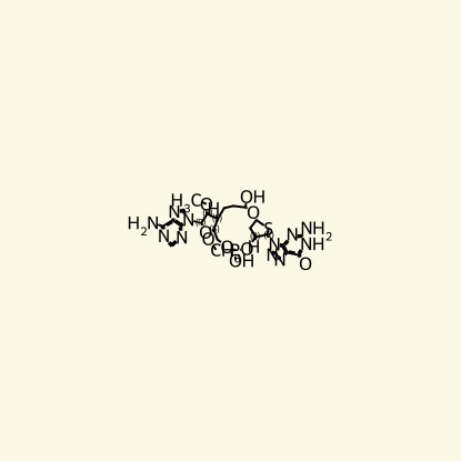 CO[C@H]1[C@H](n2cnc3c(N)ncnc32)O[C@]2(OC)COP(O)O[C@@H]3CC(OC(O)CC[C@@H]12)S[C@H]3n1nnc2c(=O)[nH]c(N)nc21